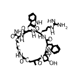 CC1CCC(=O)NCCCC[C@@H](C(N)=O)NC(=O)[C@H](Cc2c[nH]c3ccccc23)NC(=O)[C@H](CCCNC(=N)N)NC(=O)C(Cc2ccccc2)NC(=O)[C@@H]2C[C@@H](O)CN2C1=O